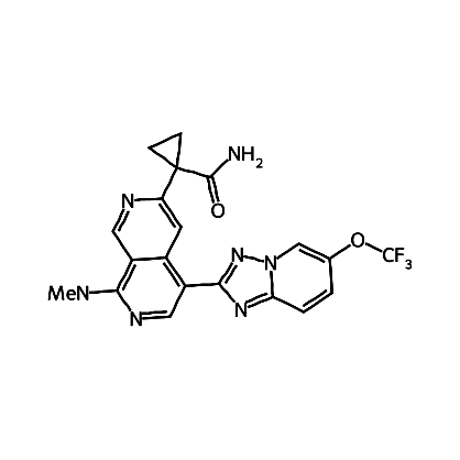 CNc1ncc(-c2nc3ccc(OC(F)(F)F)cn3n2)c2cc(C3(C(N)=O)CC3)ncc12